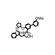 COc1cccc(-c2ccc(OC3CCCC3)c(C(=O)N[C@@H](CO)Cc3c[nH]c4ccccc34)c2)c1